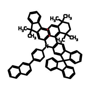 CC1(C)CCC(C)(C)c2c(-c3cc4c(cc3N(c3ccc5c(c3)C(C)(C)c3ccccc3-5)C3C=CC(c5ccc6ccccc6c5)=CC3)C3(c5ccccc5-c5ccccc53)c3ccccc3-4)cccc21